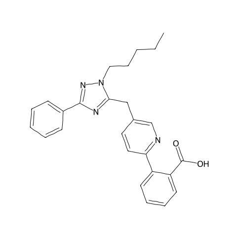 CCCCCn1nc(-c2ccccc2)nc1Cc1ccc(-c2ccccc2C(=O)O)nc1